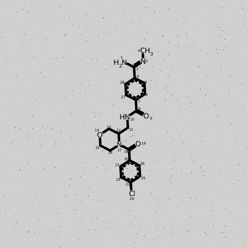 C/N=C(\N)c1ccc(C(=O)NCC2COCCN2C(=O)c2ccc(Cl)cc2)cc1